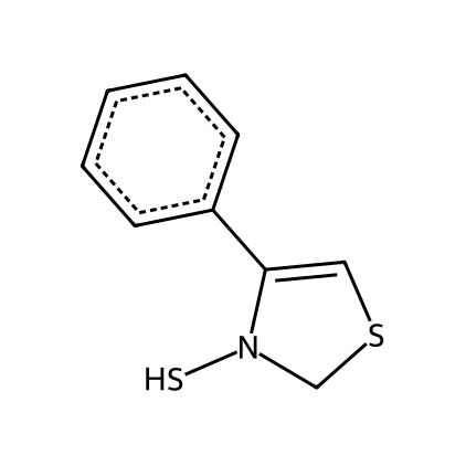 SN1CSC=C1c1ccccc1